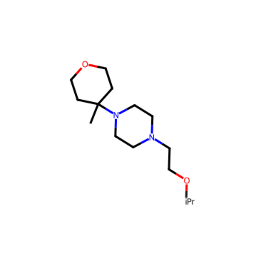 CC(C)OCCN1CCN(C2(C)CCOCC2)CC1